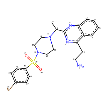 CC(c1nc(CCN)c2ccccc2n1)N1CCN(S(=O)(=O)c2ccc(Br)cc2)CC1